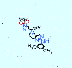 CCCC(CCNC(=O)OC(C)(C)C)N1CCCc2nc(Nc3cc(C)cc(C)c3)ncc2C1